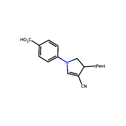 CCCCCC1CN(c2ccc(C(=O)O)cc2)C=C1C#N